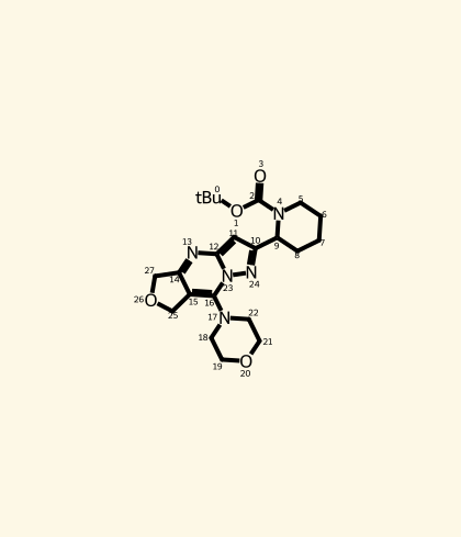 CC(C)(C)OC(=O)N1CCCCC1c1cc2nc3c(c(N4CCOCC4)n2n1)COC3